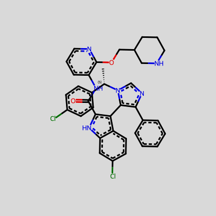 C[C@@H](c1ccc(Cl)cc1)n1cnc(-c2ccccc2)c1-c1c(C(=O)Nc2cccnc2OCC2CCCNC2)[nH]c2cc(Cl)ccc12